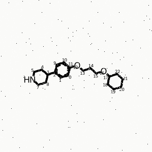 c1cc(C2CCNCC2)ccc1OCCCOC1CCCCC1